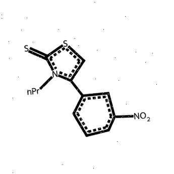 CCCn1c(-c2cccc([N+](=O)[O-])c2)csc1=S